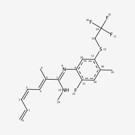 C=C\C=C/C=C(C)/C(=N/c1cc(SCC(F)(F)F)c(C)cc1F)NC